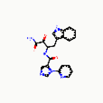 NC(=O)C(=O)C(Cc1c[nH]c2ccccc12)NC(=O)c1cncn1-c1ccccn1